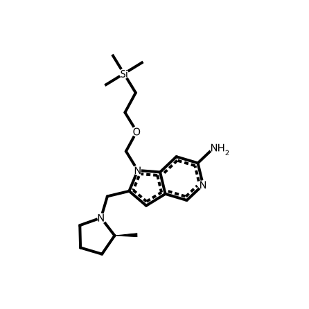 C[C@H]1CCCN1Cc1cc2cnc(N)cc2n1COCC[Si](C)(C)C